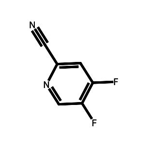 N#Cc1cc(F)c(F)cn1